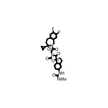 CNC(=O)Nc1ccc2c(c1)CC[C@]21OC(=O)N(CC(=O)N2Cc3cc(F)c(F)cc3CC[C@@]2(O)C2CC2)C1=O